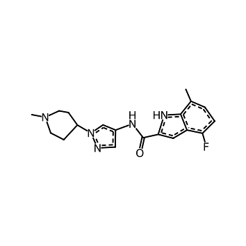 Cc1ccc(F)c2cc(C(=O)Nc3cnn(C4CCN(C)CC4)c3)[nH]c12